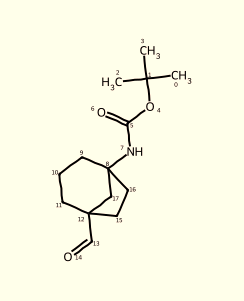 CC(C)(C)OC(=O)NC12CCCC(C=O)(CC1)C2